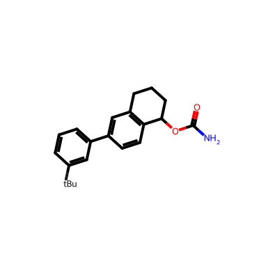 CC(C)(C)c1cccc(-c2ccc3c(c2)CCCC3OC(N)=O)c1